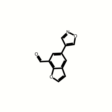 O=Cc1cc(-c2cnoc2)cc2ccoc12